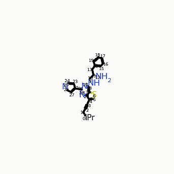 CC(C)CC#Cc1csc2c(NC[C@@H](N)Cc3ccccc3)nc(-c3ccncc3)nc12